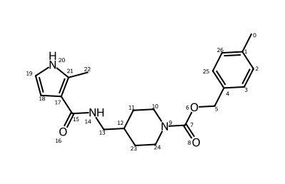 Cc1ccc(COC(=O)N2CCC(CNC(=O)c3cc[nH]c3C)CC2)cc1